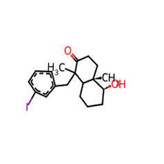 CC1(Cc2cccc(I)c2)C(=O)CC[C@@]2(C)C1CCC[C@@H]2O